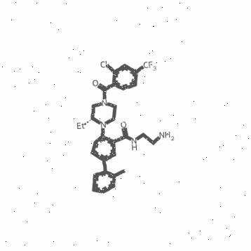 CC[C@@H]1CN(C(=O)c2ccc(C(F)(F)F)cc2Cl)CCN1c1ccc(-c2ccccc2C)cc1C(=O)NCCN